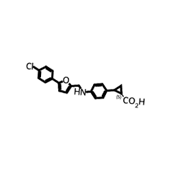 O=C(O)[C@H]1CC1c1ccc(NCc2ccc(-c3ccc(Cl)cc3)o2)cc1